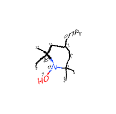 CCCC1CC(C)(C)N(O)C(C)(C)C1